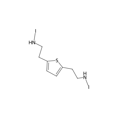 INCCc1ccc(CCNI)s1